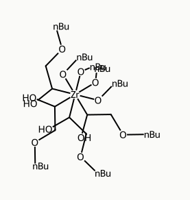 CCCCOC[CH](O)[Zr]([O]CCCC)([O]CCCC)([O]CCCC)([O]CCCC)([CH](O)COCCCC)([CH](O)COCCCC)[CH](O)COCCCC